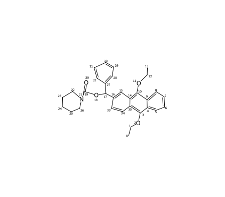 CCOc1c2ccccc2c(OCC)c2cc(C(OC(=O)N3CCCCC3)c3ccccc3)ccc12